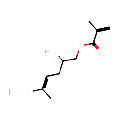 C=C(C)C(=O)OCC(O)CC=C(C)C(=O)O